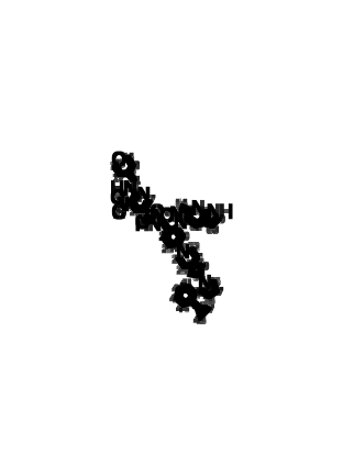 O=C(NS(=O)(=O)c1cnc(NCC2CCOCC2)c([N+](=O)[O-])c1)c1ccc(N2CCC3(CC2)CC(N2CCC[C@@H]2c2ccccc2C2CC2)C3)cc1-n1ncc2nc3[nH]ccc3cc21